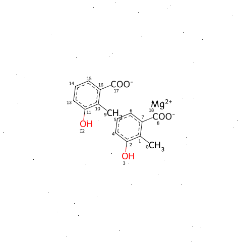 Cc1c(O)cccc1C(=O)[O-].Cc1c(O)cccc1C(=O)[O-].[Mg+2]